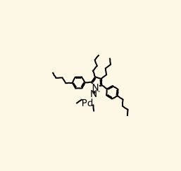 CCCCC1=C(c2ccc(CCCC)cc2)[N+](=[N-])C(c2ccc(CCCC)cc2)=C1CCCC.C[CH2][Pd][CH2]C